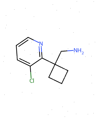 NCC1(c2ncccc2Cl)CCC1